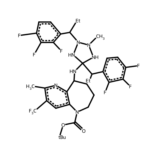 CCC(c1ccc(F)c(F)c1F)N1NC(NC2CCCN(C(=O)OC(C)(C)C)c3cc(C(F)(F)F)c(C)nc32)(C(CC)c2ccc(F)c(F)c2F)NN1C